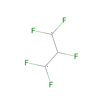 F[C](F)C(F)[C](F)F